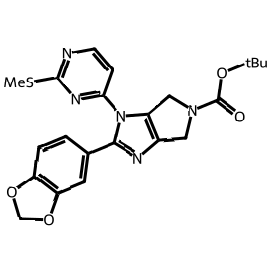 CSc1nccc(-n2c(-c3ccc4c(c3)OCO4)nc3c2CN(C(=O)OC(C)(C)C)C3)n1